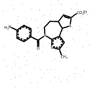 CCOC(=O)C1=CC2CCN(C(=O)c3ccc(N)cc3)c3sc(C)cc3C2S1